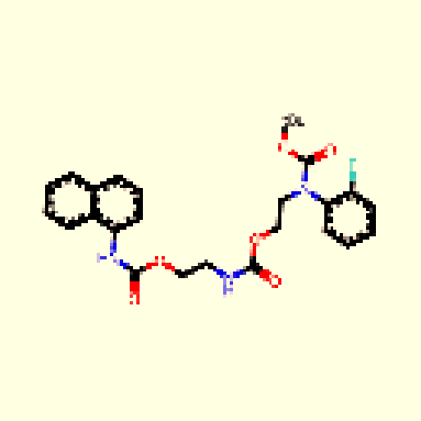 CC(C)(C)OC(=O)N(CCOC(=O)NCCOC(=O)Nc1cccc2ccccc12)c1ccccc1F